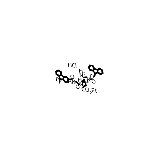 CCOC(=O)[C@@H]1C[C@]2(CN(CCN)C(=O)OCC3c4ccccc4-c4ccccc43)C[C@@H]2N1C(=O)CNC(=O)c1ccc2c(c1)-c1ccccc1C2(F)F.Cl